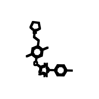 Cc1ccc(-c2nsc(Oc3cc(C)c(CCN4CCCC4)cc3C)n2)cc1